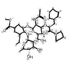 CCC1CC(C(=O)OC)C[C@@H](O[C@@H]2OC(CO)[C@H](O)C(O[C@@H](CC3CCCCC3)C(=O)N3CCC3)C2NC(C)=O)C1O[C@@H]1OC(C)[C@@H](O)C(O)C1O